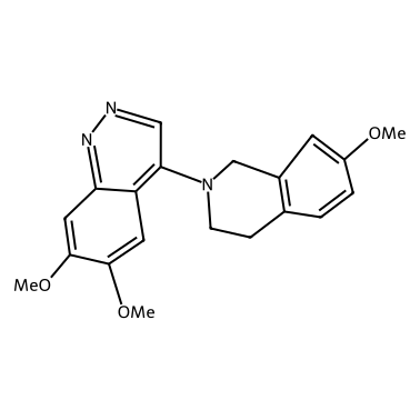 COc1ccc2c(c1)CN(c1cnnc3cc(OC)c(OC)cc13)CC2